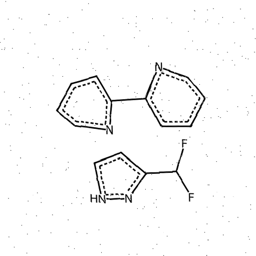 FC(F)c1cc[nH]n1.c1ccc(-c2ccccn2)nc1